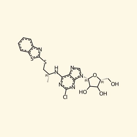 C[C@H](CSc1nc2ccccc2s1)Nc1nc(Cl)nc2c1ncn2[C@@H]1O[C@H](CO)C(O)C1O